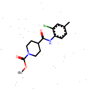 Cc1ccc(NC(=O)C2CCN(C(=O)OC(C)(C)C)CC2)c(Br)c1